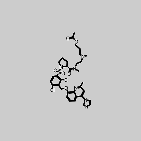 CC(=O)OCCCN(C)CCN(C)C(=O)[C@@H]1CCCN1S(=O)(=O)c1ccc(Cl)c(COc2cccc3c(-n4ccnc4)cc(C)nc23)c1Cl